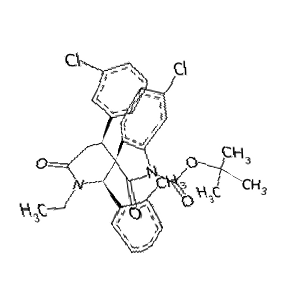 CCN1C(=O)C[C@@H](c2cccc(Cl)c2)[C@]2(C(=O)N(C(=O)OC(C)(C)C)c3cc(Cl)ccc32)[C@H]1c1ccccc1C